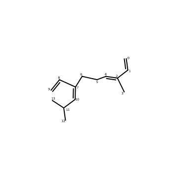 C=CC(C)=CCCC(C=C)=CC(C)C